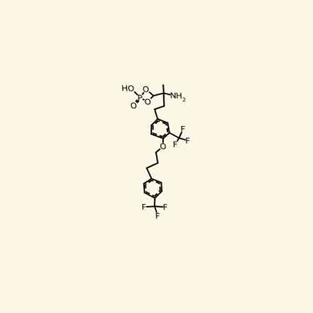 CC(N)(CCc1ccc(OCCCc2ccc(C(F)(F)F)cc2)c(C(F)(F)F)c1)C1OP(=O)(O)O1